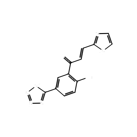 O=C(/C=C/c1ncc[nH]1)c1cc(-c2nnn[nH]2)ccc1O